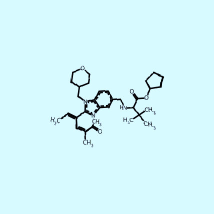 C/C=C(\C=C(\C)C(C)=O)c1nc2cc(CNC(C(=O)OC3CCCC3)C(C)(C)C)ccc2n1CC1CCOCC1